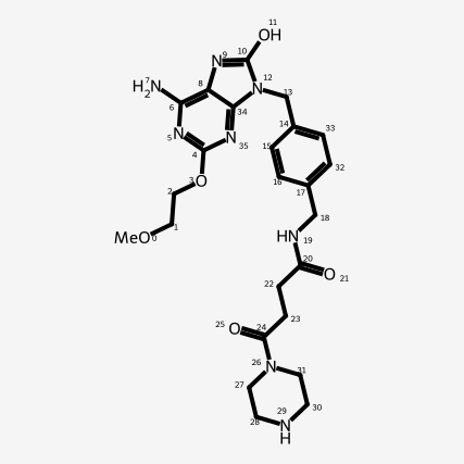 COCCOc1nc(N)c2nc(O)n(Cc3ccc(CNC(=O)CCC(=O)N4CCNCC4)cc3)c2n1